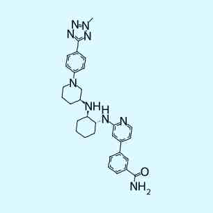 Cn1nnc(-c2ccc(N3CCC[C@H](N[C@@H]4CCCC[C@H]4Nc4cc(-c5cccc(C(N)=O)c5)ccn4)C3)cc2)n1